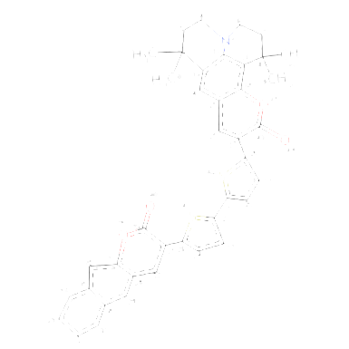 CC1(C)CCN2CCC(C)(C)c3c2c1cc1cc(-c2ccc(-c4ccc(-c5cc6cc7ccccc7cc6oc5=O)s4)s2)c(=O)oc31